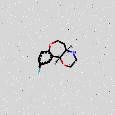 Fc1ccc2c(c1)[C@H]1OCCN[C@@H]1CCO2